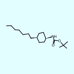 CCCCCCC[C@H]1CC[C@@H](NC(=O)OC(C)(C)C)CC1